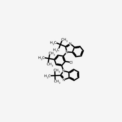 CC(C)(C)c1cc(-n2c(C(C)(C)C)nc3ccccc32)c(Cl)c(-n2c(C(C)(C)C)nc3ccccc32)c1